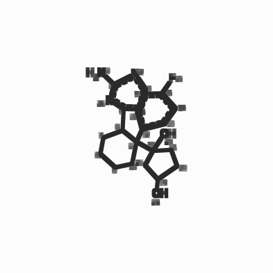 Nc1nccc(C2C[CH]CCC2(c2ccc(F)cc2)C2(O)CCC(O)C2)n1